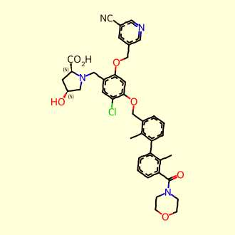 Cc1c(COc2cc(OCc3cncc(C#N)c3)c(CN3C[C@@H](O)C[C@H]3C(=O)O)cc2Cl)cccc1-c1cccc(C(=O)N2CCOCC2)c1C